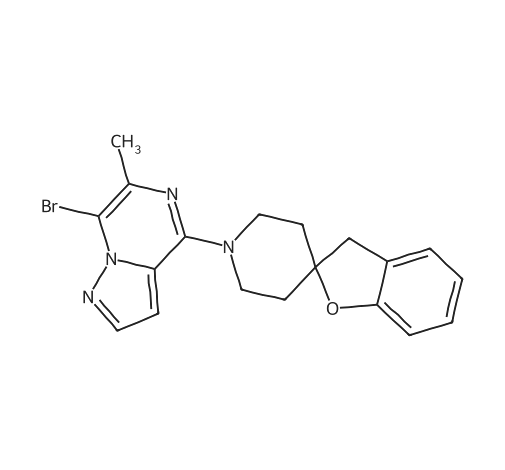 Cc1nc(N2CCC3(CC2)Cc2ccccc2O3)c2ccnn2c1Br